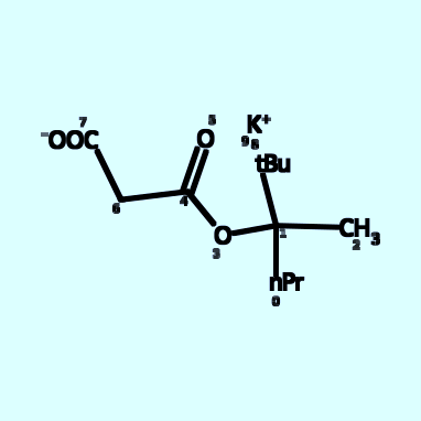 CCCC(C)(OC(=O)CC(=O)[O-])C(C)(C)C.[K+]